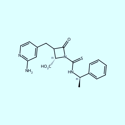 C[C@@H](NC(=S)N1C(=O)C(Cc2ccnc(N)c2)[C@H]1C(=O)O)c1ccccc1